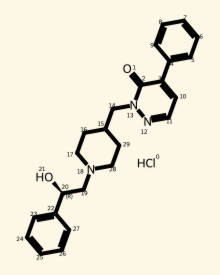 Cl.O=c1c(-c2ccccc2)ccnn1CC1CCN(C[C@H](O)c2ccccc2)CC1